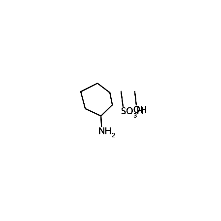 CO.CS(=O)(=O)O.NC1CCCCC1